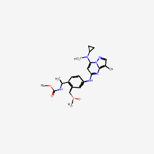 CC(NC(=O)OC(C)(C)C)c1ccc(Nc2cc(N(C(=O)O)C3CC3)n3ncc(C#N)c3n2)cc1C[S+](C)[O-]